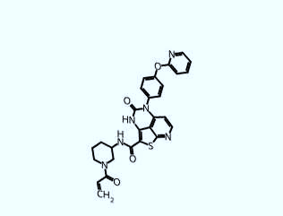 C=CC(=O)N1CCCC(NC(=O)c2sc3nccc4c3c2NC(=O)N4c2ccc(Oc3ccccn3)cc2)C1